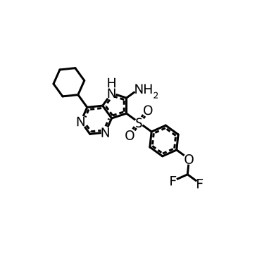 Nc1[nH]c2c(C3CCCCC3)ncnc2c1S(=O)(=O)c1ccc(OC(F)F)cc1